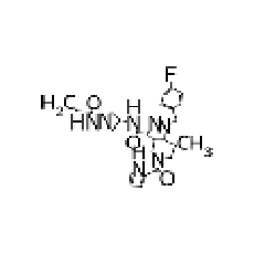 C=CC(=O)NN1CC(NC(=O)c2nn(Cc3ccc(F)cc3)c3c2CN(C(=O)c2ccc[nH]2)CC3C)C1